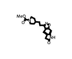 COC(=O)N1CCC(CCc2noc3cc4c(cc23)CC(=O)N4)CC1